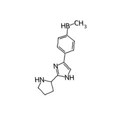 CBc1ccc(-c2c[nH]c(C3CCCN3)n2)cc1